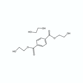 O=C(OCCO)c1ccc(C(=O)OCCO)cc1.OCCO